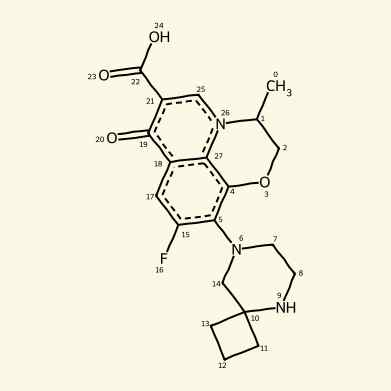 CC1COc2c(N3CCNC4(CCC4)C3)c(F)cc3c(=O)c(C(=O)O)cn1c23